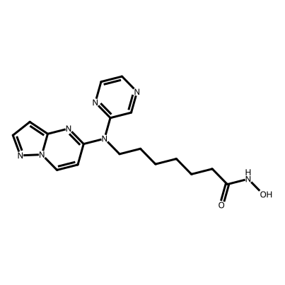 O=C(CCCCCCN(c1cnccn1)c1ccn2nccc2n1)NO